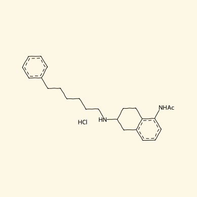 CC(=O)Nc1cccc2c1CCC(NCCCCCCc1ccccc1)C2.Cl